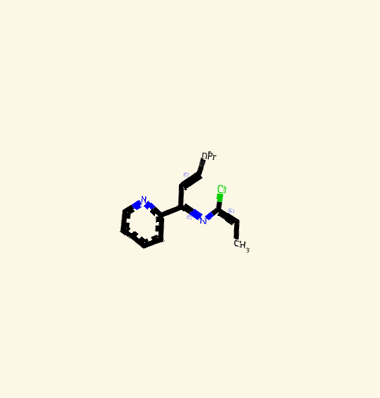 C\C=C(Cl)/N=C(\C=C\CCC)c1ccccn1